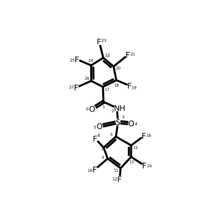 O=C(NS(=O)(=O)c1c(F)c(F)c(F)c(F)c1F)c1c(F)c(F)c(F)c(F)c1F